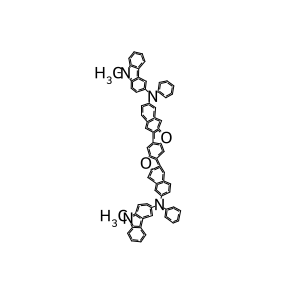 Cn1c2ccccc2c2cc(N(c3ccccc3)c3ccc4cc5c(cc4c3)oc3cc4c(cc35)oc3cc5cc(N(c6ccccc6)c6ccc7c(c6)c6ccccc6n7C)ccc5cc34)ccc21